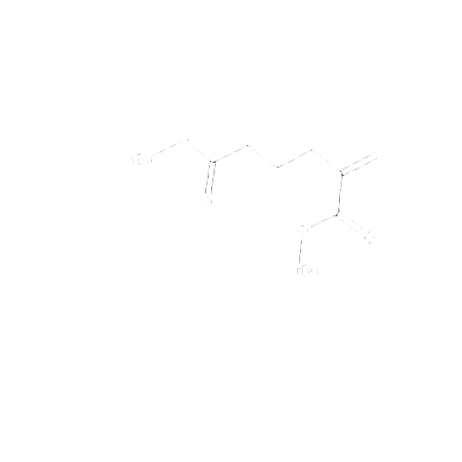 C=C(CCCC(=O)OC(C)(C)C)C(=O)OC(C)(C)C